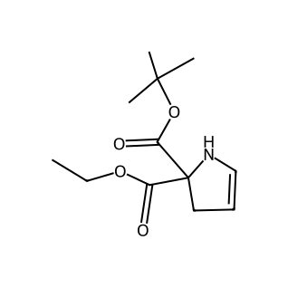 CCOC(=O)C1(C(=O)OC(C)(C)C)CC=CN1